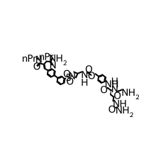 CCCN(CCC)C(=O)C1=Cc2ccc(-c3cccc(S(=O)(=O)N4CC(CNC(=O)OCc5ccc(NC(=O)[C@H](CCCNC(N)=O)NC(=O)CN)cc5)C4)c3)cc2N=C(N)C1